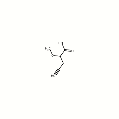 C#CCC(OC)C(=O)O